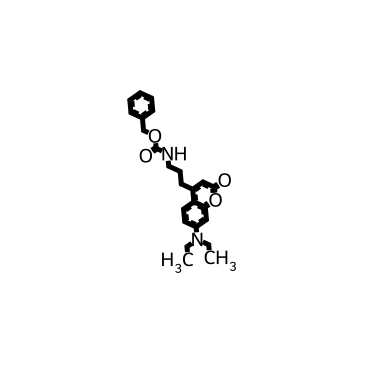 CCN(CC)c1ccc2c(CCCNC(=O)OCc3ccccc3)cc(=O)oc2c1